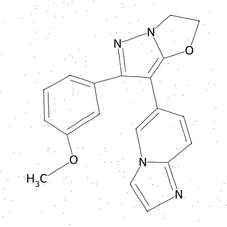 COc1cccc(-c2nn3c(c2-c2ccc4nccn4c2)OCC3)c1